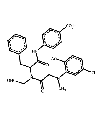 CC(=O)c1ccc(Cl)cc1N(C)CC(=O)N(CC=O)C(Cc1ccccc1)C(=O)Nc1ccc(C(=O)O)cc1